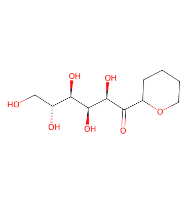 O=C(C1CCCCO1)[C@H](O)[C@@H](O)[C@H](O)[C@H](O)CO